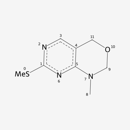 CSc1ncc2c(n1)N(C)COC2